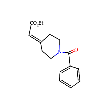 CCOC(=O)C=C1CCN(C(=O)c2ccccc2)CC1